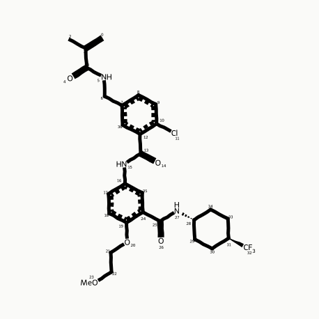 C=C(C)C(=O)NCc1ccc(Cl)c(C(=O)Nc2ccc(OCCOC)c(C(=O)N[C@H]3CC[C@H](C(F)(F)F)CC3)c2)c1